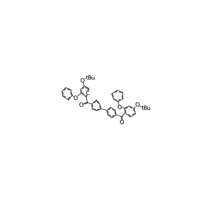 CC(C)(C)Oc1ccc(C(=O)c2ccc(-c3ccc(C(=O)c4ccc(OC(C)(C)C)cc4Oc4ccccc4)cc3)cc2)c(Oc2ccccc2)c1